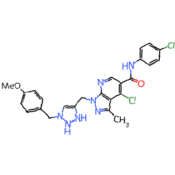 COc1ccc(CN2C=C(Cn3nc(C)c4c(Cl)c(C(=O)Nc5ccc(Cl)cc5)cnc43)NN2)cc1